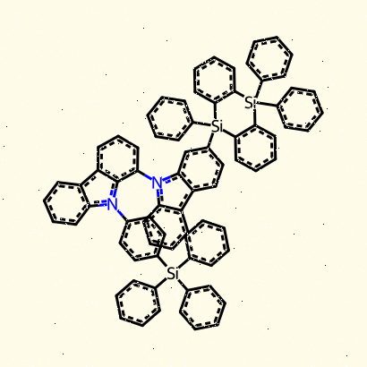 c1ccc([Si](c2ccccc2)(c2ccccc2)c2ccc(-n3c4ccccc4c4cccc(-n5c6ccccc6c6ccc([Si]7(c8ccccc8)c8ccccc8[Si](c8ccccc8)(c8ccccc8)c8ccccc87)cc65)c43)cc2)cc1